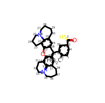 O=C(S)c1ccc(C(=O)O)c(C2=c3cc4c5c(c3Oc3c2cc2c6c3CCCN6CCCC2)CCC[N+]=5CCCC4)c1